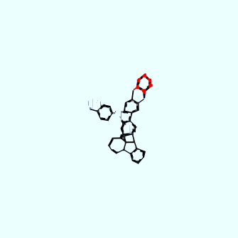 C=C1C=CC=CC2c3ccccc3C3c4cc5c6cc7c(cc6n(-c6ccc(CC(C)(C)C)cc6)c5cc4C123)C1c2ccccc2C7c2ccccc21